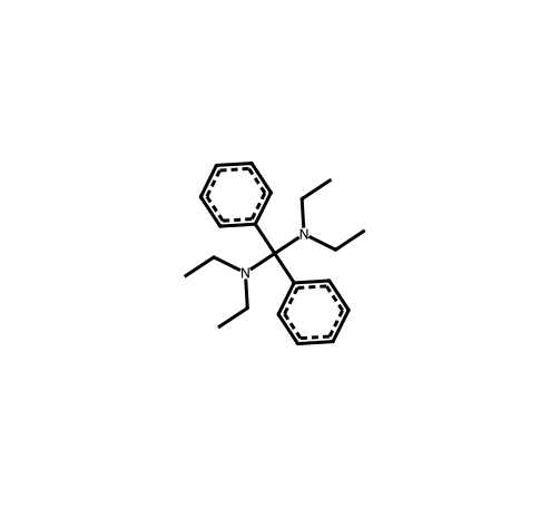 CCN(CC)C(c1ccccc1)(c1ccccc1)N(CC)CC